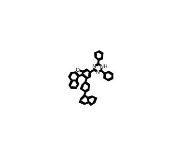 c1ccc(C2=NC(c3cc(-c4ccc(-c5cccc6ccccc56)cc4)c4c(c3)oc3ccc5ccccc5c34)=NC(c3ccccc3)N2)cc1